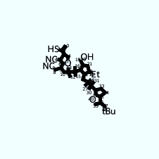 C=C(S)C1COC(C(CC#N)CC(C)(C)C(C)(C)C2C(CO)CC(CC)C2CC(C)(C)C(C)(C)C2CCC3C(CC(C)(C)C)COC32)C1C#N